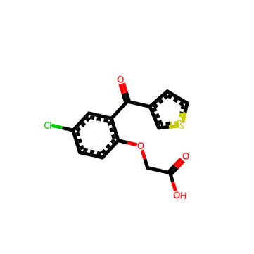 O=C(O)COc1ccc(Cl)cc1C(=O)c1ccsc1